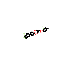 Cc1cc(F)c(OCC2COC(c3ccc(-c4ccc5c(F)c(F)c(F)cc5c4)c(F)c3)OC2)c(F)c1